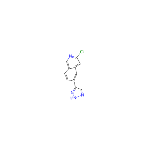 Clc1cc2cc(-c3cn[nH]n3)ccc2cn1